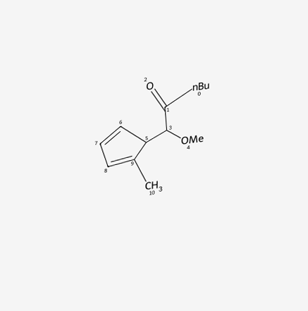 CCCCC(=O)C(OC)C1C=CC=C1C